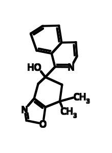 CC1(C)CC(O)(c2nccc3ccccc23)Cc2ncoc21